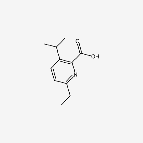 CCc1ccc(C(C)C)c(C(=O)O)n1